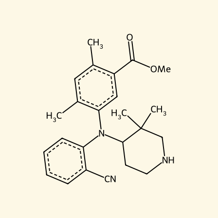 COC(=O)c1cc(N(c2ccccc2C#N)C2CCNCC2(C)C)c(C)cc1C